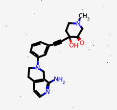 CN1CCC(O)(C#Cc2cccc(N3CCc4ccnc(N)c4C3)c2)C(=O)C1